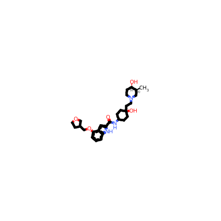 C[C@H]1CN(CCC2(O)CCC(NC(=O)c3cc4c(OCC5CCOC5)cccc4[nH]3)CC2)CC[C@@H]1O